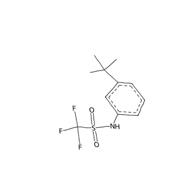 CC(C)(C)c1cccc(NS(=O)(=O)C(F)(F)F)c1